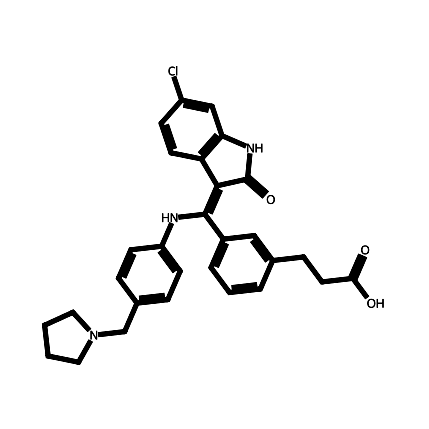 O=C(O)CCc1cccc(C(Nc2ccc(CN3CCCC3)cc2)=C2C(=O)Nc3cc(Cl)ccc32)c1